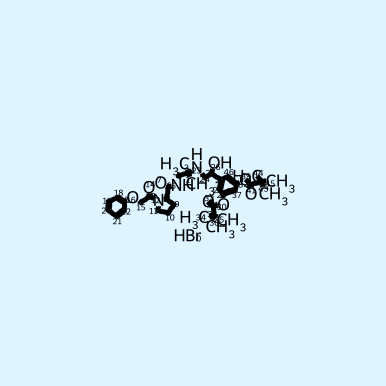 Br.CC(C)(CNC(=O)C1CCCN1C(=O)COc1ccccc1)NCC(O)c1cc(OC(=O)C(C)(C)C)cc(OC(=O)C(C)(C)C)c1